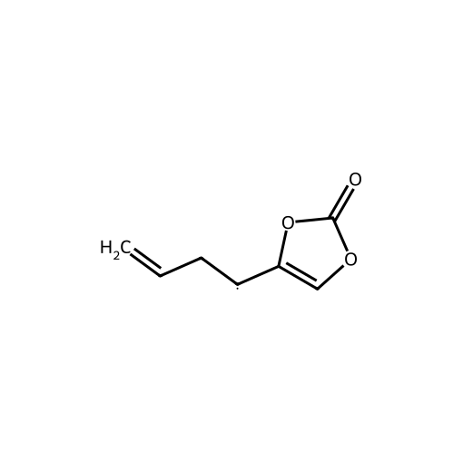 C=CC[CH]c1coc(=O)o1